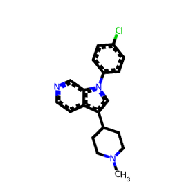 CN1CCC(c2cn(-c3ccc(Cl)cc3)c3cnccc23)CC1